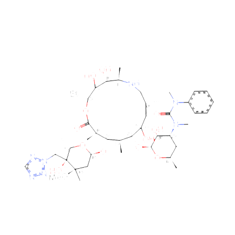 CC[C@H]1OC(=O)[C@H](C)[C@@H](O[C@H]2C[C@@](C)(OC)[C@](O)(Cn3ncnn3)[C@H](C)O2)[C@H](C)[C@@H](O[C@@H]2O[C@H](C)C[C@H](N(C)C(=O)N(C)c3ccccc3)[C@H]2O)[C@](C)(O)C[C@@H](C)CN[C@H](C)[C@@H](O)[C@]1(C)O